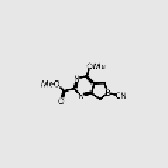 COC(=O)c1nc2c(c(OC)n1)CB(C#N)C2